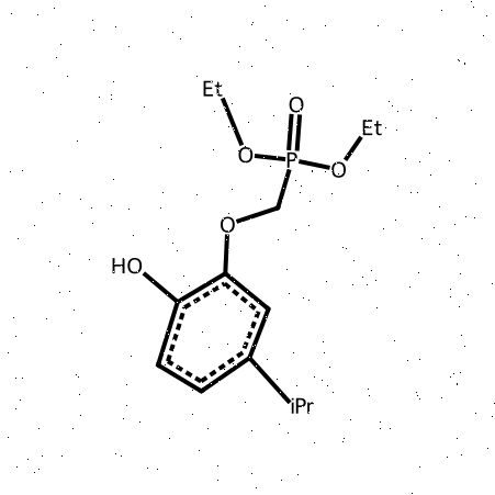 CCOP(=O)(COc1cc(C(C)C)ccc1O)OCC